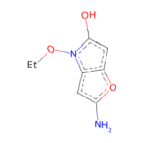 CCOn1c(O)cc2oc(N)cc21